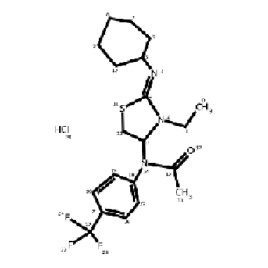 CCN1C(=NC2CCCCC2)SCC1N(C(C)=O)c1ccc(C(F)(F)F)cc1.Cl